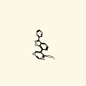 Cc1ncncc1-c1cccc2c(-c3cnccn3)noc12